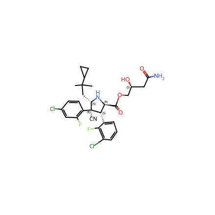 CC(C)(C[C@@H]1N[C@@H](C(=O)OC[C@@H](O)CC(N)=O)[C@H](c2cccc(Cl)c2F)[C@@]1(C#N)c1ccc(Cl)cc1F)C1CC1